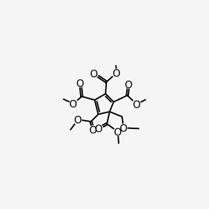 COCC1(C(=O)OC)C(C(=O)OC)=C(C(=O)OC)C(C(=O)OC)=C1C(=O)OC